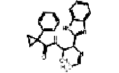 C/C=N\C(c1nc2ccccc2[nH]1)C(C)NC(=O)C1(c2ccccc2)CC1